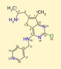 Cc1c(CC(C)N)sc2c(NCc3ccncc3)nc(Cl)nc12